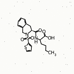 CCCCC(NC(=O)[C@@H]1Cc2ccccc2CN1S(=O)(=O)c1cccs1)C(=O)O